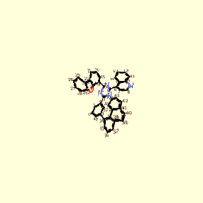 c1cc(-c2nc(-c3ccnc4ccccc34)nc(-c3cccc4c3oc3ccccc34)n2)cc(-c2cccc3ccc4ccccc4c23)c1